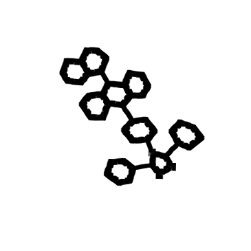 c1ccc(-c2nnc(-c3ccccc3)n2-c2ccc(-c3c4ccccc4c(-c4cccc5ccccc45)c4ccccc34)cc2)cc1